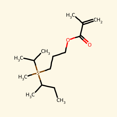 C=C(C)C(=O)OCCCS(C)(C(C)C)C(C)CC